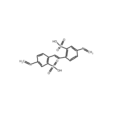 C=Nc1ccc(/C=C/c2ccc(N=C)cc2S(=O)(=O)O)c(S(=O)(=O)O)c1